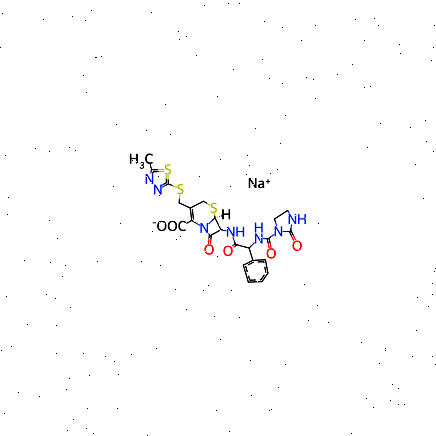 Cc1nnc(SCC2=C(C(=O)[O-])N3C(=O)C(NC(=O)C(NC(=O)N4CCNC4=O)c4ccccc4)[C@@H]3SC2)s1.[Na+]